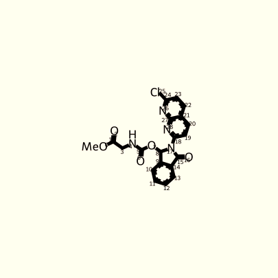 COC(=O)CNC(=O)OC1c2ccccc2C(=O)N1c1ccc2ccc(Cl)nc2n1